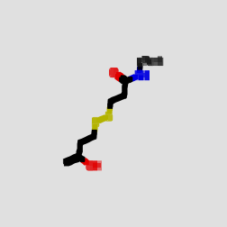 C=C(O)CCSSCCC(=O)NCCCCC